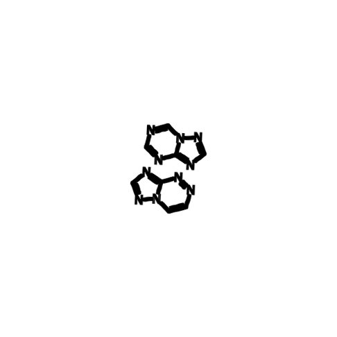 c1cn2ncnc2nn1.c1ncn2ncnc2n1